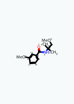 COCC(C)(C)NC(=O)c1cccc(OC)c1